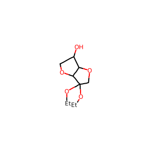 CCOC1(OCC)COC2C(O)COC21